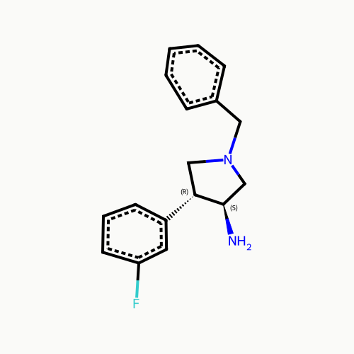 N[C@@H]1CN(Cc2ccccc2)C[C@H]1c1cccc(F)c1